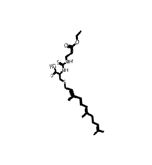 CCOC(=O)CCNC(=S)NC(CSC/C=C(\C)CC/C=C(\C)CCC=C(C)C)C(=O)O